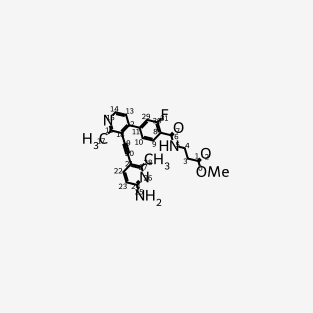 COC(=O)CCNC(=O)c1ccc(-c2ccnc(C)c2C#Cc2ccc(N)nc2C)cc1F